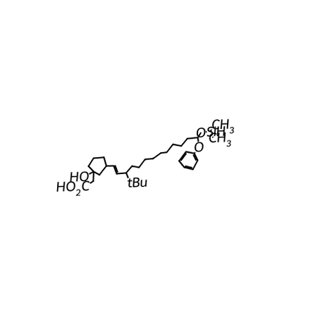 C[SiH](C)OC(CCCCCCCCCC(C=CC1CCCC(O)(CC(=O)O)C1)C(C)(C)C)Oc1ccccc1